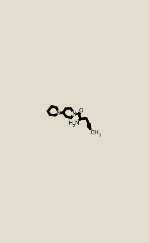 CC#CCC(N)C(=O)N1CCC(N2CCCCC2)CC1